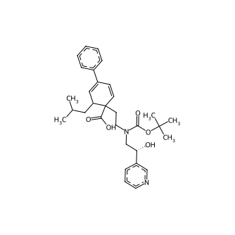 CC(C)CC1C=C(c2ccccc2)C=CC1(CCN(C[C@H](O)c1cccnc1)C(=O)OC(C)(C)C)C(=O)O